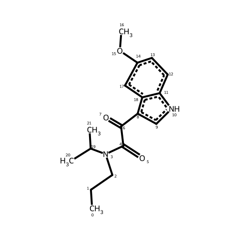 CCCN(C(=O)C(=O)c1c[nH]c2ccc(OC)cc12)C(C)C